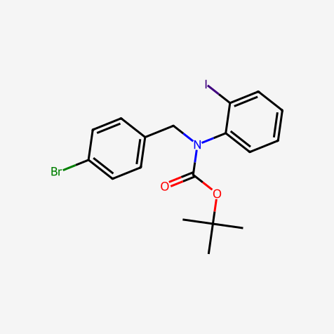 CC(C)(C)OC(=O)N(Cc1ccc(Br)cc1)c1ccccc1I